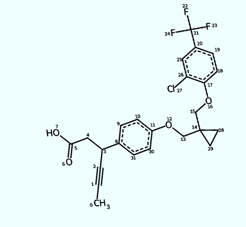 CC#CC(CC(=O)O)c1ccc(OCC2(COc3ccc(C(F)(F)F)cc3Cl)CC2)cc1